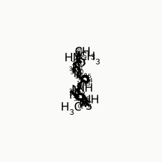 CCn1c(=S)[nH]c2cc3c(NCc4ccccc4CN4CCN(CC(=O)NC(C)C)CC4)ncnc3cc21